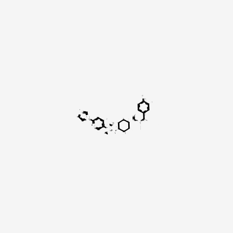 C[C@@H](NC(=O)[C@H]1CC[C@H](NS(=O)(=O)c2ccc(-n3ccnc3)nc2)CC1)c1ccc(F)cc1